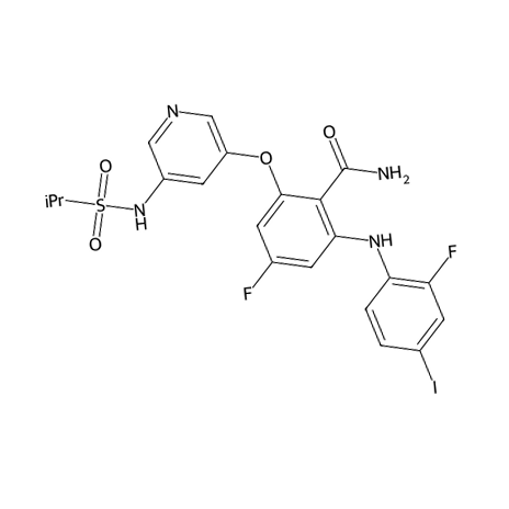 CC(C)S(=O)(=O)Nc1cncc(Oc2cc(F)cc(Nc3ccc(I)cc3F)c2C(N)=O)c1